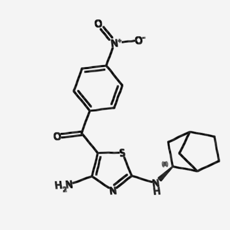 Nc1nc(N[C@H]2CC3CCC2C3)sc1C(=O)c1ccc([N+](=O)[O-])cc1